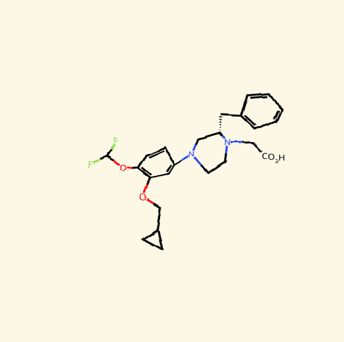 O=C(O)CN1CCN(c2ccc(OC(F)F)c(OCC3CC3)c2)C[C@@H]1Cc1ccccc1